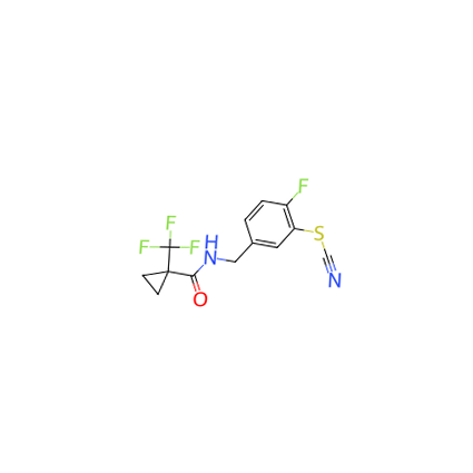 N#CSc1cc(CNC(=O)C2(C(F)(F)F)CC2)ccc1F